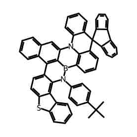 CC(C)(C)c1ccc(N2B3c4cccc5c4N(c4ccccc4C54c5ccccc5-c5ccccc54)c4cc5ccccc5c(c43)-c3ccc4sc5ccccc5c4c32)cc1